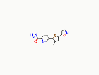 Cc1cc(-c2ccno2)sc1-c1ccc(C(N)=O)nc1